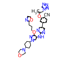 C[C@@H](Cn1cnnn1)Oc1cc(-c2cnc(Nc3cn(C4CCC(N5CCOCC5)CC4)nc3OCCCc3ncco3)nc2)ccc1C#N